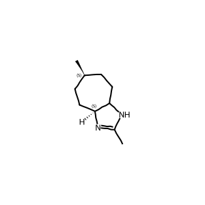 CC1=N[C@H]2CC[C@@H](C)CCC2N1